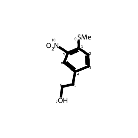 CSc1ccc(CCO)cc1[N+](=O)[O-]